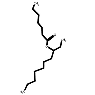 CCCCCCCC(CC)OC(=O)CCCCCC